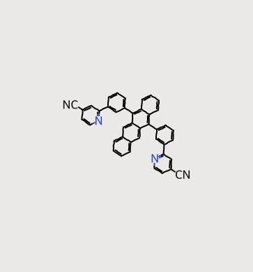 N#Cc1ccnc(-c2cccc(-c3c4ccccc4c(-c4cccc(-c5cc(C#N)ccn5)c4)c4cc5ccccc5cc34)c2)c1